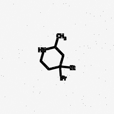 CCC1(C(C)C)CCNC(C)C1